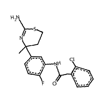 CC1(c2ccc(F)c(NC(=O)c3ccccc3Cl)c2)CCSC(N)=N1